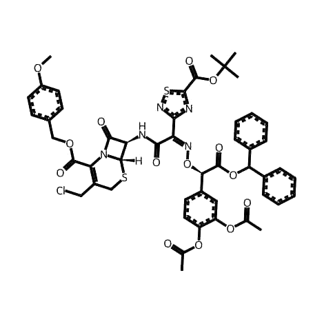 COc1ccc(COC(=O)C2=C(CCl)CS[C@H]3[C@H](NC(=O)/C(=N\O[C@@H](C(=O)OC(c4ccccc4)c4ccccc4)c4ccc(OC(C)=O)c(OC(C)=O)c4)c4nsc(C(=O)OC(C)(C)C)n4)C(=O)N23)cc1